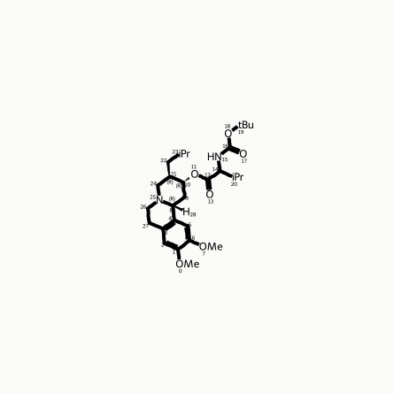 COc1cc2c(cc1OC)[C@H]1C[C@@H](OC(=O)C(NC(=O)OC(C)(C)C)C(C)C)[C@H](CC(C)C)CN1CC2